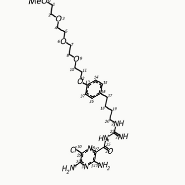 COCCOCCOCCOCCOc1ccc(CCCCNC(=N)NC(=O)c2nc(Cl)c(N)nc2N)cc1